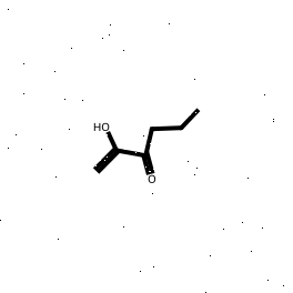 C=C(O)C(=O)CCC